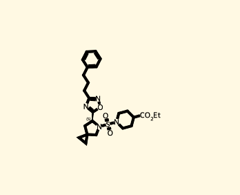 CCOC(=O)C1CCN(S(=O)(=O)N2CC3(CC3)C[C@H]2c2nc(CCCc3ccccc3)no2)CC1